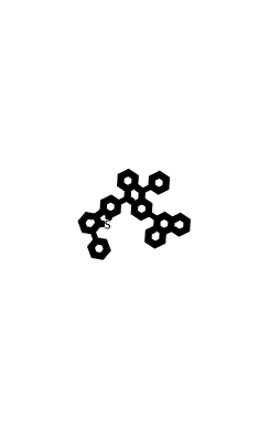 c1ccc(-c2c3ccccc3c(-c3ccc4c(c3)sc3c(-c5ccccc5)cccc34)c3ccc(-c4cc5ccccc5c5ccccc45)cc23)cc1